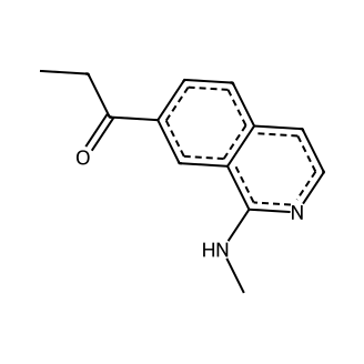 CCC(=O)c1ccc2ccnc(NC)c2c1